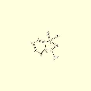 CCCC1=NS(=O)(=O)c2ccccc21